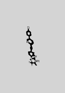 CC(Nc1nc2cc(C#Cc3ccc(-c4ccc(Cl)cc4)cn3)ccc2n1C)C(F)(F)F